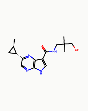 C[C@@H]1C[C@H]1c1cnc2[nH]cc(C(=O)NCC(C)(C)CO)c2n1